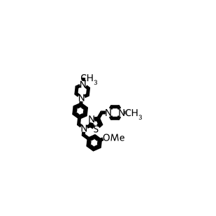 COc1cccc(CN(Cc2ccc(N3CCN(C)CC3)cc2)c2nc(CN3CCN(C)CC3)cs2)c1